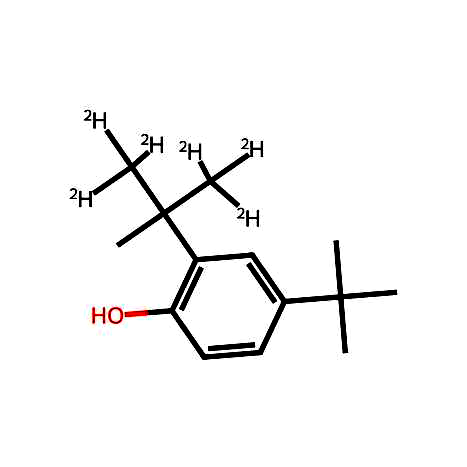 [2H]C([2H])([2H])C(C)(c1cc(C(C)(C)C)ccc1O)C([2H])([2H])[2H]